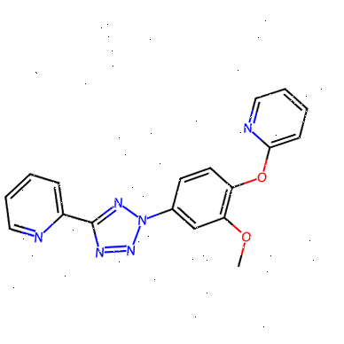 COc1cc(-n2nnc(-c3ccccn3)n2)ccc1Oc1ccccn1